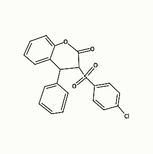 O=C1Oc2ccccc2C(c2ccccc2)C1S(=O)(=O)c1ccc(Cl)cc1